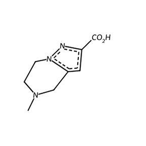 CN1CCn2nc(C(=O)O)cc2C1